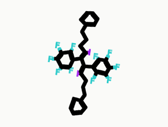 Fc1c(F)c(F)c(C(=C(/I)CCCc2ccccc2)/C(=C(\I)CCCc2ccccc2)c2c(F)c(F)c(F)c(F)c2F)c(F)c1F